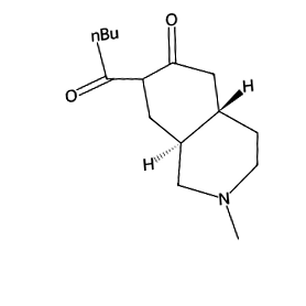 CCCCC(=O)C1C[C@@H]2CN(C)CC[C@H]2CC1=O